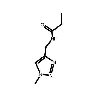 CCC(=O)NCc1cn(C)nn1